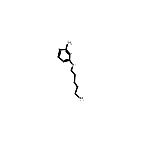 NCCCCCOc1cccc(N)c1